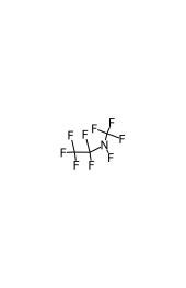 FN(C(F)(F)F)C(F)(F)C(F)(F)F